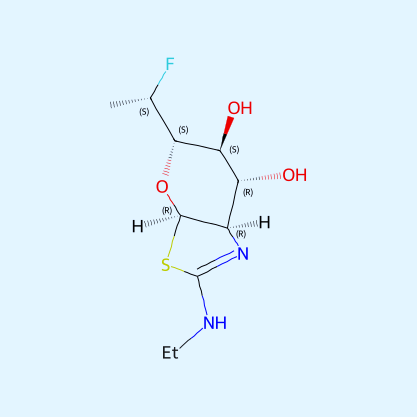 CCNC1=N[C@@H]2[C@@H](O)[C@H](O)[C@@H]([C@H](C)F)O[C@@H]2S1